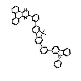 CC1(C)c2cc(-c3cccc(-c4ccc5c6ccccc6n(-c6ccccc6)c5c4)c3)ccc2-c2ccc(-c3cccc(-c4cnc5c6ccccc6c6ccccc6c5n4)c3)cc21